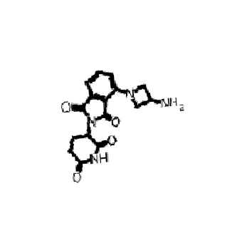 NC1CN(c2cccc3c2C(=O)N(C2CCC(=O)NC2=O)C3=O)C1